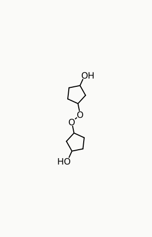 OC1CCC(OOC2CCC(O)C2)C1